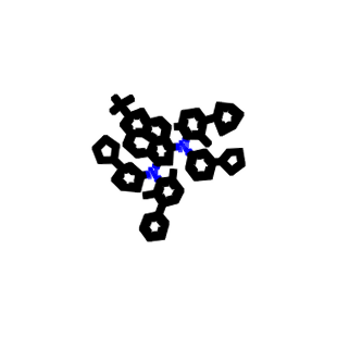 Cc1ccc(-c2ccccc2)c(C)c1N(c1cccc(C2CCCC2)c1)c1cc(N(c2cccc(C3CCCC3)c2)c2c(C)ccc(-c3ccccc3)c2C)c2ccc3cc(C(C)(C)C)cc4ccc1c2c43